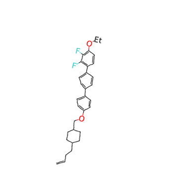 C=CCCC1CCC(COc2ccc(-c3ccc(-c4ccc(OCC)c(F)c4F)cc3)cc2)CC1